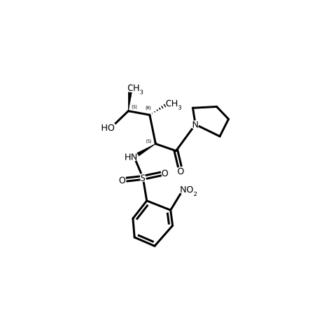 C[C@@H]([C@H](C)O)[C@H](NS(=O)(=O)c1ccccc1[N+](=O)[O-])C(=O)N1CCCC1